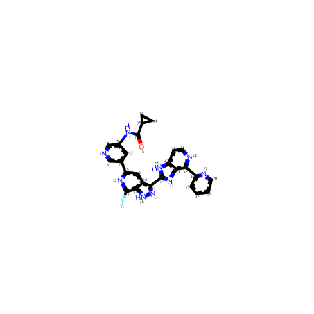 O=C(Nc1cncc(-c2cc3c(-c4nc5c(-c6ccccn6)nccc5[nH]4)n[nH]c3c(F)n2)c1)C1CC1